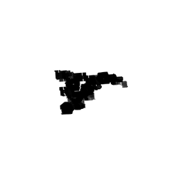 Cl.Cl.N[C@H]1CC[C@H](Nc2nc(NC3CCN(OC(=O)Nc4ccc(OC(F)(F)F)cc4)CC3)c3ncn(C4CCCC4)c3n2)CC1